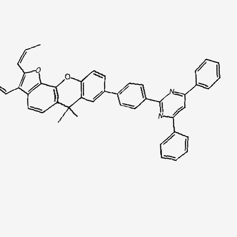 C=Cc1c(/C=C\C)oc2c3c(ccc12)C(C)(C)c1cc(-c2ccc(-c4nc(-c5ccccc5)cc(-c5ccccc5)n4)cc2)ccc1O3